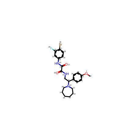 COc1ccc(C(CNC(=O)C(=O)Nc2ccc(Br)c(F)c2)N2CCCCCC2)cc1